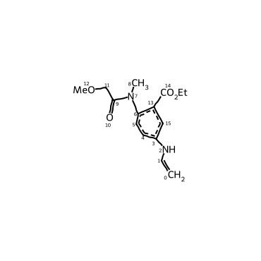 C=CNc1ccc(N(C)C(=O)COC)c(C(=O)OCC)c1